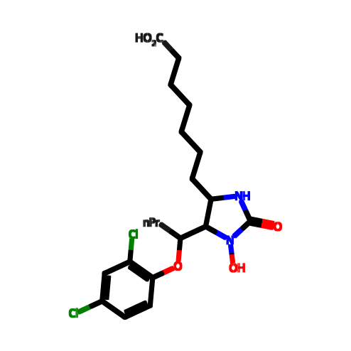 CCCC(Oc1ccc(Cl)cc1Cl)C1C(CCCCCCC(=O)O)NC(=O)N1O